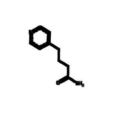 NC(=O)CCCc1ccncc1